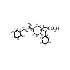 O=C(O)CC1(Cc2ccccc2)CCCN(C(=O)OCc2ccccc2)CC1